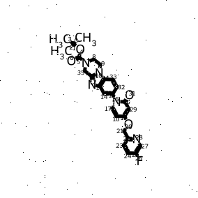 CC(C)(C)OC(=O)N1CCn2c(nc3cc(-n4ccc(OCc5ccc(F)cn5)cc4=O)ccc32)C1